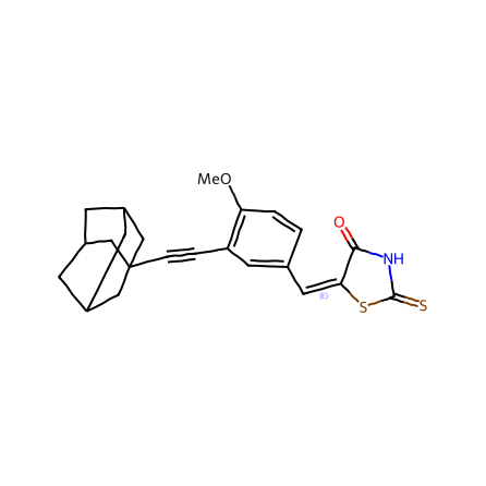 COc1ccc(/C=C2/SC(=S)NC2=O)cc1C#CC12CC3CC(CC(C3)C1)C2